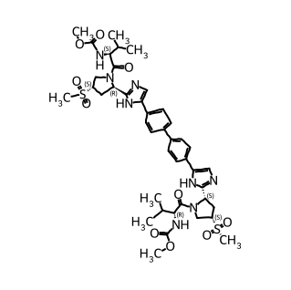 COC(=O)N[C@H](C(=O)N1C[C@@H](S(C)(=O)=O)C[C@@H]1c1ncc(-c2ccc(-c3ccc(-c4cnc([C@@H]5C[C@H](S(C)(=O)=O)CN5C(=O)[C@H](NC(=O)OC)C(C)C)[nH]4)cc3)cc2)[nH]1)C(C)C